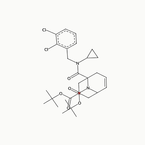 CC(C)(C)OC(=O)N1CC2C=CCC(C(=O)N(Cc3cccc(Cl)c3Cl)C3CC3)(C1)N2C(=O)OC(C)(C)C